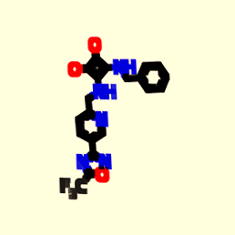 O=c1c(NCc2ccccc2)c(NCc2ccc(-c3noc(C(F)(F)F)n3)cn2)c1=O